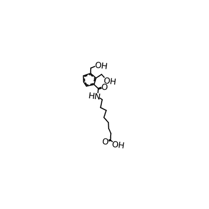 O=C(O)CCCCCCCNC(=O)c1cccc(CO)c1CO